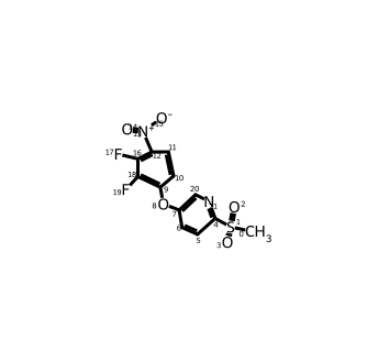 CS(=O)(=O)c1ccc(Oc2ccc([N+](=O)[O-])c(F)c2F)cn1